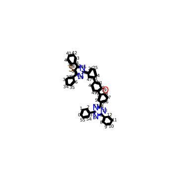 c1ccc(-c2nc(-c3ccccc3)nc(-c3ccc4oc5cc(-c6cccc(-c7nc(-c8ccccc8)c8sc9ccccc9c8n7)c6)ccc5c4c3)n2)cc1